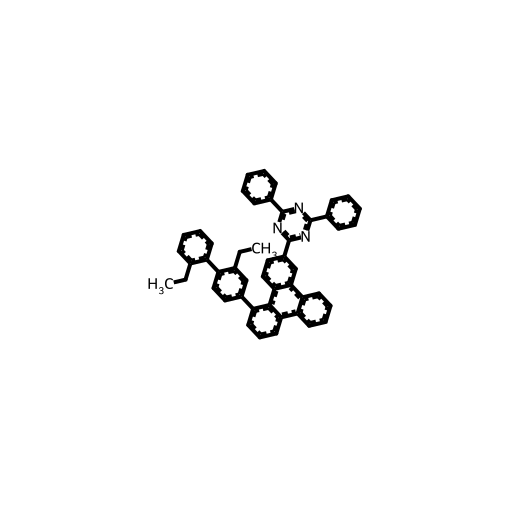 CCc1ccccc1-c1ccc(-c2cccc3c4ccccc4c4cc(-c5nc(-c6ccccc6)nc(-c6ccccc6)n5)ccc4c23)cc1CC